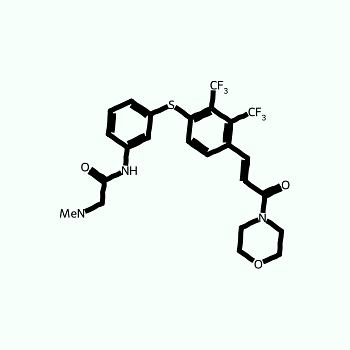 CNCC(=O)Nc1cccc(Sc2ccc(C=CC(=O)N3CCOCC3)c(C(F)(F)F)c2C(F)(F)F)c1